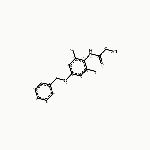 Cc1cc(OCc2ccccc2)cc(C)c1NC(=O)CCl